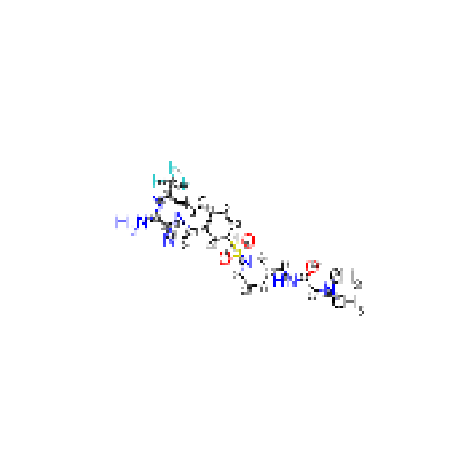 Cc1ccc(S(=O)(=O)N2CCCC(CNC(=O)CN(C)C)C2)cc1-c1cnc2c(N)nc(C(F)(F)F)cn12